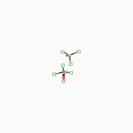 [Cl][Ru]([Cl])[Cl].[O]=[Ru]([Cl])([Cl])[Cl]